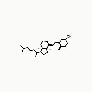 C=C1CC[C@H](O)C/C1=C/C=C1\CCC[C@]2(C)C(C(C)CCCC(C)C)CC[C@@H]12